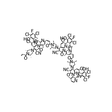 C=CC(=O)N1[C@H](C)CN(c2c(C#N)c(=O)n(-c3c(C)cc(/C=C\C(=O)N4[C@H](C)CN(c5c(C#N)c(=O)n(-c6c(C)cc(/C=C\C(=O)N7[C@H](C)CN(c8c(C#N)c(=O)n(-c9c(C)ccnc9C(C)C)c9nc(-c%10c(C)c(Cl)c(F)c(Cl)c%10O)c(Cl)cc89)C[C@@H]7C)nc6C(C)C)c6nc(-c7c(C)c(Cl)c(F)c(Cl)c7O)c(Cl)cc56)C[C@@H]4C)nc3C(C)C)c3nc(-c4c(C)c(Cl)c(F)c(Cl)c4O)c(Cl)cc23)C[C@@H]1C